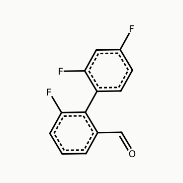 O=Cc1cccc(F)c1-c1ccc(F)cc1F